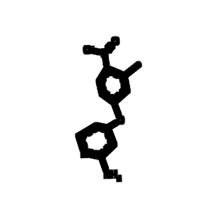 Cc1cc(Oc2ccnc(N)c2)ccc1[N+](=O)[O-]